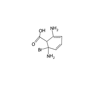 NC1=CC=CC(N)(Br)C1C(=O)O